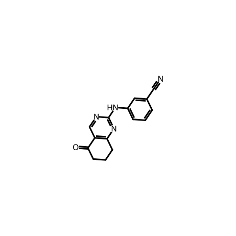 N#Cc1cccc(Nc2ncc3c(n2)CCCC3=O)c1